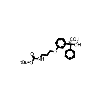 CC(C)(C)OC(=O)NCCCOc1cccc([C@](O)(C(=O)O)c2ccccc2)c1